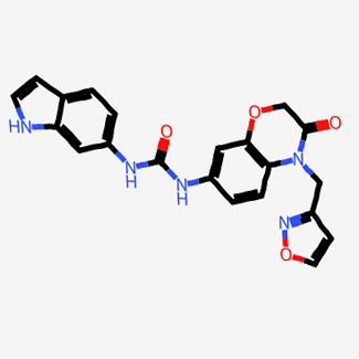 O=C(Nc1ccc2c(c1)OCC(=O)N2Cc1ccon1)Nc1ccc2cc[nH]c2c1